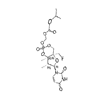 CC(C)OC(=O)OCOP1(=O)OC[C@@]2(CF)O[C@@H](n3ccc(=O)[nH]c3=O)[C@H](C)[C@@]2(C)O1